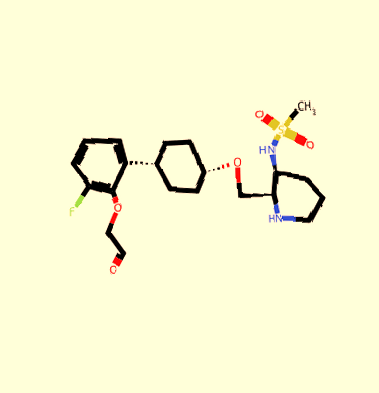 CS(=O)(=O)N[C@H]1CCCN[C@H]1CO[C@H]1CC[C@@H](c2cccc(F)c2OCC=O)CC1